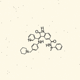 C[C@@H](NC(=O)c1ccc2c(c1)C(=C(Nc1ccc(CN3CCCCC3)cc1)c1cccnc1)C(=O)N2)c1ccccc1